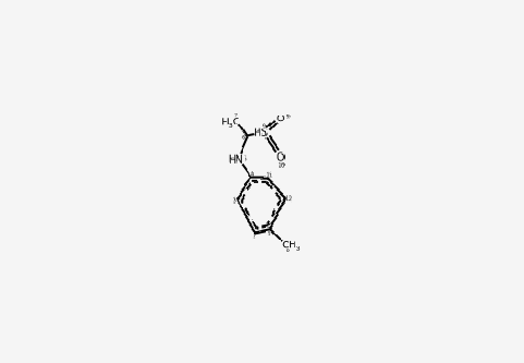 Cc1ccc(NC(C)[SH](=O)=O)cc1